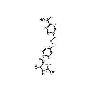 C[C@H](O)c1ccc(CCOc2ccc(/C=C3\SC(O)NC3=O)cc2)nc1